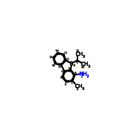 Cc1ccc2c(c1N)B(C(C)C)c1ccccc1-2